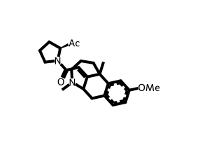 COc1ccc2c(c1)C1(C)CCCN(C)C(C2)/C1=C\C(=O)N1CCC[C@H]1C(C)=O